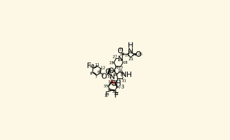 CCN(C(=O)Oc1ccc(F)cc1)[C@]1(C(=O)C2CCN(C(=O)[C@@H]3CC(=O)N3)CC2)CNC[C@H]1c1ccc(F)c(F)c1